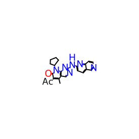 CC(=O)c1c(C)c2cnc(Nc3ccc4cnccc4n3)nc2n(C2CCCC2)c1=O